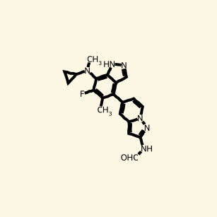 Cc1c(F)c(N(C)C2CC2)c2[nH]ncc2c1-c1ccn2nc(NC=O)cc2c1